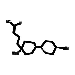 CCCC[C@H]1CC[C@H]([C@H]2CC[C@@](CCC=C(F)C#N)(OC)CC2)CC1